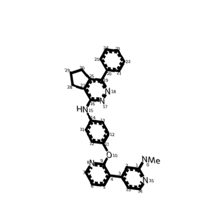 CNc1cc(-c2cccnc2Oc2ccc(Nc3nnc(-c4ccccc4)c4c3CCC4)cc2)ccn1